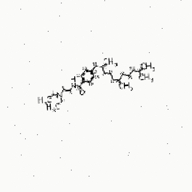 CCN(CC)CCNC(=O)c1ccc(CC(C)CCCC(C)CCCC(C)C)cc1